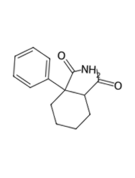 CC(=O)C1CCCCC1(C(N)=O)c1ccccc1